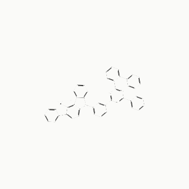 CC1(C)c2ccccc2-c2ccc3c(c21)c1ccccc1n3-c1cccc(-c2nc(-c3ccccc3)nc(-c3ccccc3-c3ccccc3)n2)c1